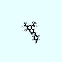 CC(O)c1nc(C(=O)O)c(O)c2ncc(Cc3ccc(F)cc3)cc12